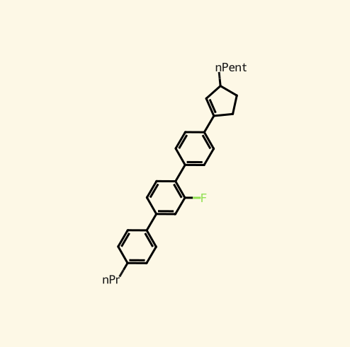 CCCCCC1C=C(c2ccc(-c3ccc(-c4ccc(CCC)cc4)cc3F)cc2)CC1